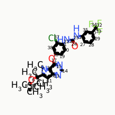 Cn1c(C(C)(C)O[Si](C)(C)C)cc2ncnc(Oc3ccc(NC(=O)Nc4cccc(C(F)(F)F)c4)c(Cl)c3)c21